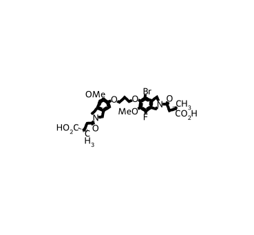 COc1cc2c(cc1OCCCOc1c(Br)c3c(c(F)c1OC)CN(C(=O)C[C@H](C)C(=O)O)C3)CN(C(=O)C[C@H](C)C(=O)O)C2